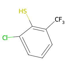 FC(F)(F)c1cccc(Cl)c1S